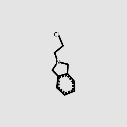 ClCCN1Cc2ccccc2C1